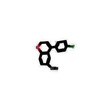 COc1ccc2c(c1)C(c1ccc(F)cc1)=CCO2